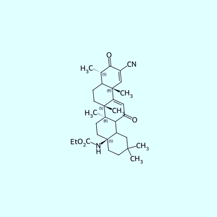 CCOC(=O)N[C@]12CCC(C)(C)CC1C1C(=O)C=C3[C@@]4(C)C=C(C#N)C(=O)[C@@H](C)C4CC[C@@]3(C)[C@]1(C)CC2